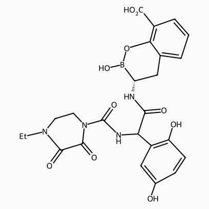 CCN1CCN(C(=O)NC(C(=O)N[C@H]2Cc3cccc(C(=O)O)c3OB2O)c2cc(O)ccc2O)C(=O)C1=O